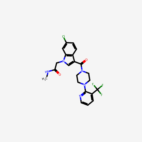 CNC(=O)Cn1cc(C(=O)N2CCN(c3ncccc3C(F)(F)F)CC2)c2ccc(Cl)cc21